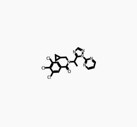 CC(c1ncnn1-c1ncccn1)N(CC1CC1)C(=O)c1cc(Cl)c(Cl)c(Cl)c1